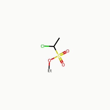 CCOS(=O)(=O)C(C)Cl